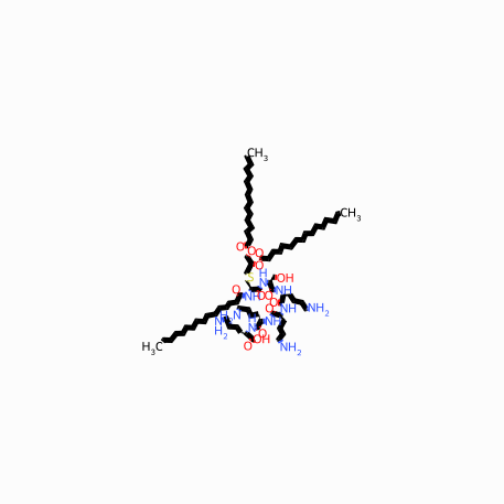 CCCCCCCCCCCCCCCC(=O)N[C@@H](CSCC(COC(=O)CCCCCCCCCCCCCCC)OC(=O)CCCCCCCCCCCCCCC)C(=O)N[C@@H](CO)C(=O)N[C@@H](CCCCN)C(=O)N[C@@H](CCCCN)C(=O)N[C@@H](CCCCN)C(=O)N[C@@H](CCCCN)C(=O)O